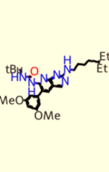 CCC(CC)CCCCNc1ncc2cc(-c3cc(OC)cc(OC)c3)c(NC(=O)NC(C)(C)C)nc2n1